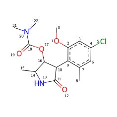 COc1cc(Cl)cc(C)c1C1C(=O)NC(C)C1OC(=O)N(C)C